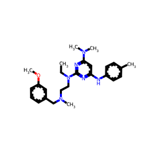 CCN(CCN(C)Cc1cccc(OC)c1)c1nc(Nc2ccc(C)cc2)cc(N(C)C)n1